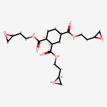 O=C(OCCC1CO1)C1CCC(C(=O)OCCC2CO2)C(C(=O)OCCC2CO2)C1